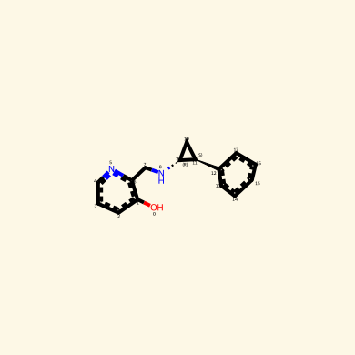 Oc1cccnc1CN[C@@H]1C[C@H]1c1ccccc1